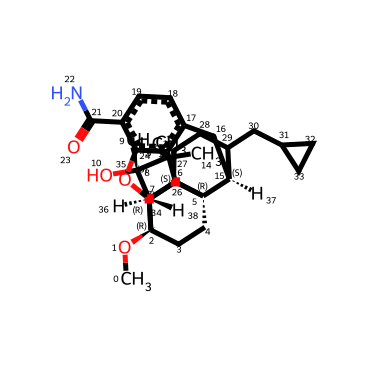 CO[C@]12CC[C@@]3(C[C@@H]1[C@](C)(O)C(C)(C)C)[C@H]1Cc4ccc(C(N)=O)c5c4[C@@]3(CCC1CC1CC1)[C@H]2O5